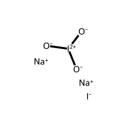 [I-].[Na+].[Na+].[O-][I+2]([O-])[O-]